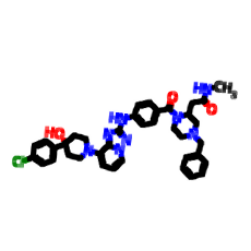 CNC(=O)CC1CN(Cc2ccccc2)CCN1C(=O)c1ccc(Nc2nc3c(N4CCC(O)(c5ccc(Cl)cc5)CC4)cccn3n2)cc1